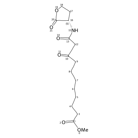 COC(=O)CCCCCCCC(=O)CC(=O)N[C@H]1CCOC1=O